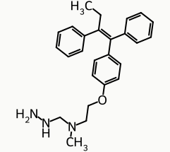 CC/C(=C(\c1ccccc1)c1ccc(OCCN(C)CNN)cc1)c1ccccc1